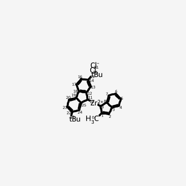 CC1=Cc2ccccc2[CH]1[Zr+2][CH]1c2cc(C(C)(C)C)ccc2-c2ccc(C(C)(C)C)cc21.[Cl-].[Cl-]